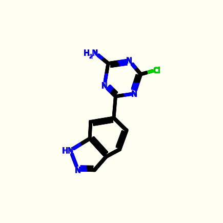 Nc1nc(Cl)nc(-c2ccc3cn[nH]c3c2)n1